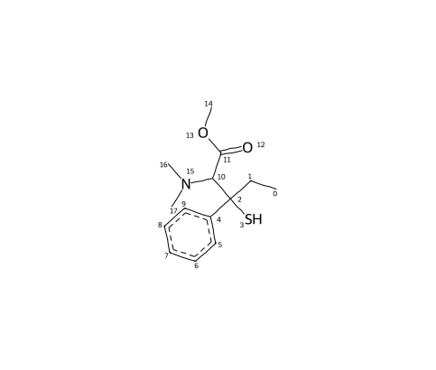 CCC(S)(c1ccccc1)C(C(=O)OC)N(C)C